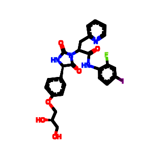 O=C(Nc1ccc(I)cc1F)C(Cc1ccccn1)N1C(=O)N[C@H](c2ccc(OC[C@H](O)CO)cc2)C1=O